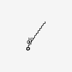 CCCCCCCCCCCCCCCCCC[NH+]([O-])CCc1ccccc1